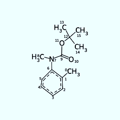 Cc1cc[c]cc1N(C)C(=O)OC(C)(C)C